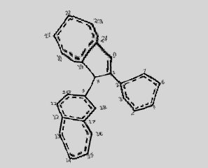 C1=C(c2ccccc2)C(c2ccc3ccccc3c2)c2ccccc21